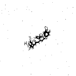 C=C(C)C1(F)C(CC(=O)CCCc2nc3cc(F)c(Cl)cc3n2C2(C)CCC2)CC1(F)F